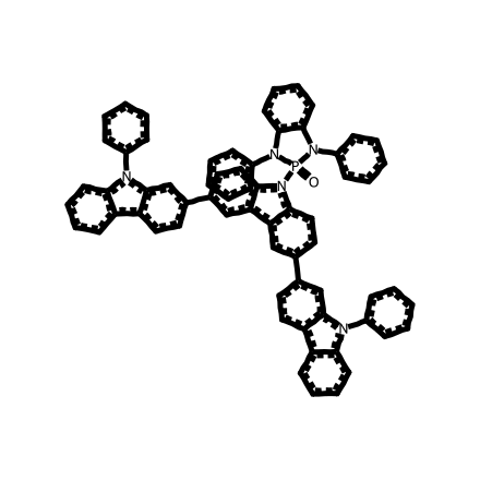 O=P1(n2c3ccc(-c4ccc5c6ccccc6n(-c6ccccc6)c5c4)cc3c3cc(-c4ccc5c6ccccc6n(-c6ccccc6)c5c4)ccc32)N(c2ccccc2)c2ccccc2N1c1ccccc1